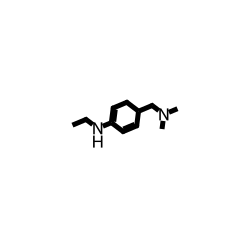 CCNC1=CCC(CN(C)C)C=C1